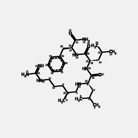 CC(C)C[C@H](NC[C@@H](C)CCCNC(=N)N)C(=O)N[C@@H](CC(C)C)C(=O)N[C@@H](Cc1ccccc1)C(N)=O